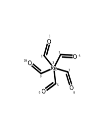 O=[CH][Re]([CH]=O)([CH]=O)([CH]=O)[CH]=O